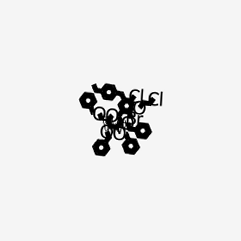 CCc1ccc(Cc2cc(C3O[C@H](COCc4ccccc4)[C@@H](OCc4ccccc4)[C@H](OCc4ccccc4)[C@H]3OCc3ccccc3)c(Br)c(OCCCl)c2Cl)cc1